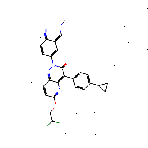 CN/C=C1/C=C(n2nc3ccc(OCC(F)F)nc3c(-c3ccc(C4CC4)cc3)c2=O)C=CC1=N